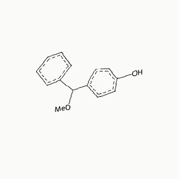 COC(c1ccccc1)c1ccc(O)cc1